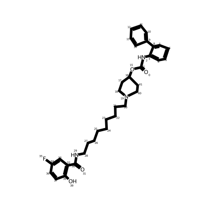 O=C(Nc1ccccc1-c1ccccc1)OC1CCN(CCCCCCCCCNC(=O)c2cc(F)ccc2O)CC1